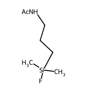 CC(=O)NCCC[Si](C)(C)F